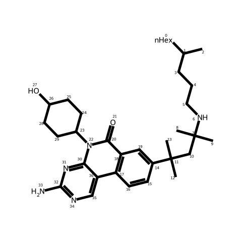 CCCCCCC(C)CCCNC(C)(C)CC(C)(C)c1ccc2c(c1)c(=O)n(C1CCC(O)CC1)c1nc(N)ncc21